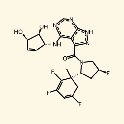 CC1([C@H]2C[C@H](F)CN2C(=O)c2n[nH]c3ncnc(N[C@@H]4C=C[C@@H](O)[C@H]4O)c23)CC(F)=CC(F)=C1F